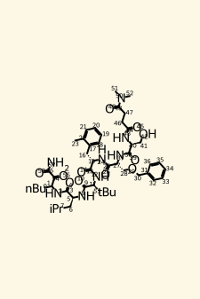 CCCCC(NC(=O)[C@H](CC(C)C)NC(=O)[C@@H](NC(=O)[C@H](Cc1ccccc1C)NC(=O)[C@@H](COCc1ccccc1)NC(=O)[C@H](CO)NC(=O)CCC(=O)N(C)C)C(C)(C)C)C(=O)C(N)=O